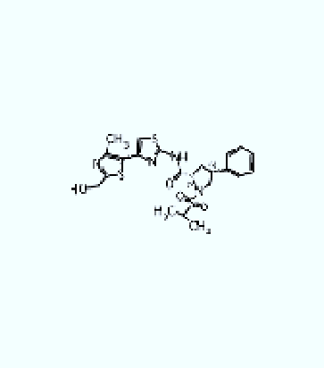 Cc1nc(CO)sc1-c1csc(NC(=O)[C@@H]2C[C@@H](c3ccccc3)CN2S(=O)(=O)C(C)C)n1